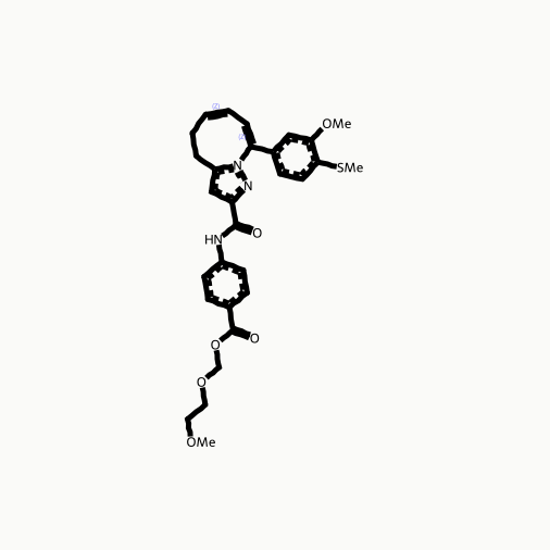 COCCOCOC(=O)c1ccc(NC(=O)c2cc3n(n2)/C(c2ccc(SC)c(OC)c2)=C\C=C/CC3)cc1